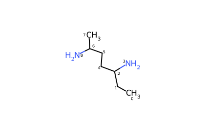 CCC(N)CCC(C)N